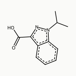 CC(C)n1nc(C(=O)O)c2ccccc21